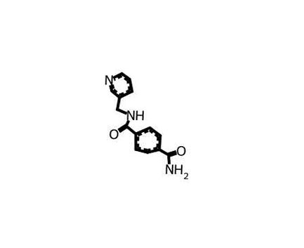 NC(=O)c1ccc(C(=O)NCc2cccnc2)cc1